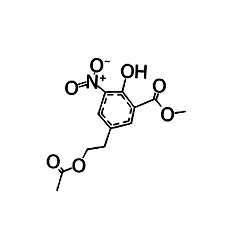 COC(=O)c1cc(CCOC(C)=O)cc([N+](=O)[O-])c1O